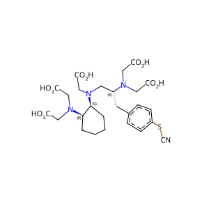 N#CSc1ccc(C[C@H](CN(CC(=O)O)[C@H]2CCCC[C@H]2N(CC(=O)O)CC(=O)O)N(CC(=O)O)CC(=O)O)cc1